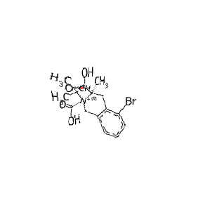 CC(C)(C)[N+]1(C(=O)O)Cc2cccc(Br)c2C[C@]1(C)C(=O)O